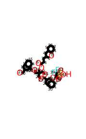 O=CC(CCC(=O)OCC1(COCC23CCCC(CC(C=O)C2)C3)COC(C2CC3CCCC(OC(=O)C(F)(F)S(=O)(=O)O)(C3)C2)OC1)CC1CCCCC1